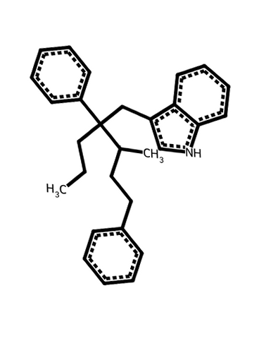 CCCC(Cc1c[nH]c2ccccc12)([C](C)CCc1ccccc1)c1ccccc1